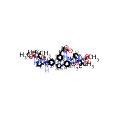 COC(=O)N[C@H](C(=O)N1CCC[C@H]1c1nc2cc([C@H]3CC[C@H](c4ccc5c(c4)NC([C@@H]4CCCN4C(=O)[C@@H](NC(=O)OC)C(C)C)N5)N3c3ccc(C[C@H]4COC(=O)N4)cc3)ccc2[nH]1)C(C)C